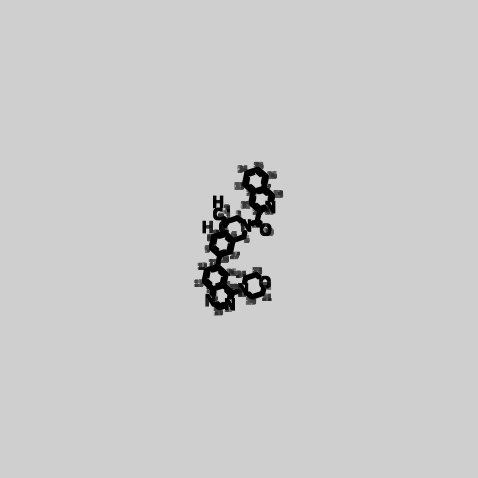 CC(C)CN(Cc1cccc(-c2ccc3ncnc(N4CCOCC4)c3c2)c1)C(=O)c1cc2ccccc2cn1